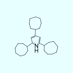 C1=C(C2CCCCCCC2)C=C(C2CCCCCCC2)N[C]1C1CCCCCCC1